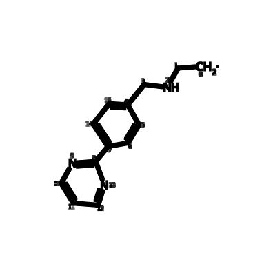 [CH2]CNCc1ccc(-c2ncccn2)cc1